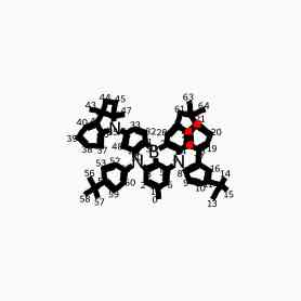 Cc1cc2c3c(c1)N(c1ccc(C(C)(C)C)cc1-c1ccccc1)c1cc4c(cc1B3c1ccc(N3c5ccccc5C5(C)CCC35C)cc1N2c1ccc(C(C)(C)C)cc1)CC(C)(C)C4